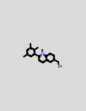 Cc1cc(C)c(C)c(-c2ccc3cc(CC(C)C)ccc3[n+]2C)c1